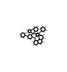 c1ccc(-c2ccc3c(c2)C2(c4ccccc4-c4ccccc42)c2cc(-c4ccccc4)ccc2N3c2cccc3ccc4cccnc4c23)cc1